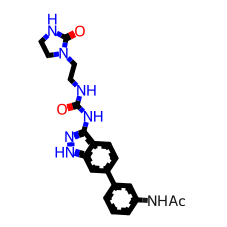 CC(=O)Nc1cccc(-c2ccc3c(NC(=O)NCCN4CCNC4=O)n[nH]c3c2)c1